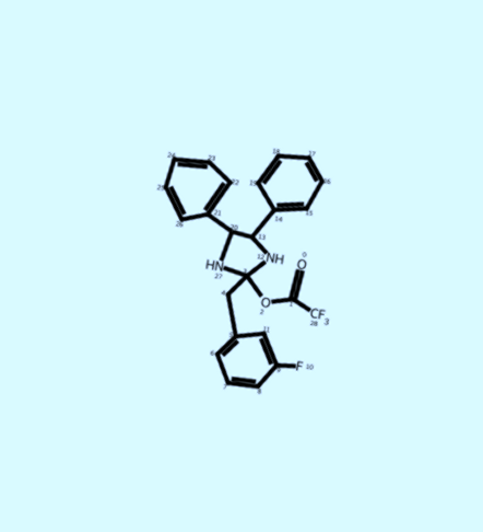 O=C(OC1(Cc2cccc(F)c2)NC(c2ccccc2)C(c2ccccc2)N1)C(F)(F)F